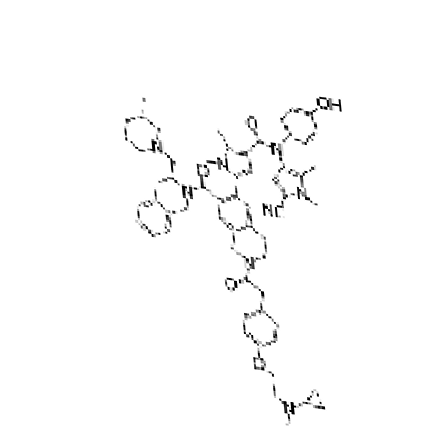 Cc1c(N(C(=O)c2cc(-c3cc4c(cc3C(=O)N3Cc5ccccc5C[C@H]3CN3CCC[C@H](C)C3)CN(C(=O)Cc3ccc(OCCN(C)C5CC5)cc3)CC4)n(C)c2C)c2ccc(O)cc2)cc(C#N)n1C